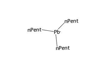 CCCC[CH2][Pb]([CH2]CCCC)[CH2]CCCC